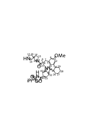 COc1ccc2c(c1)CC(C)(C(=O)N1CCC3(CCNC3)C1)Cn1c-2c(C2CCCCC2)c2ccc(C(=O)NS(=O)(=O)C(C)C)cc21